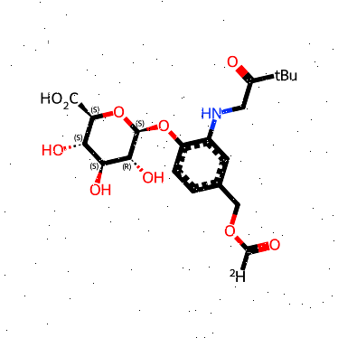 [2H]C(=O)OCc1ccc(O[C@@H]2O[C@H](C(=O)O)[C@@H](O)[C@H](O)[C@H]2O)c(NCC(=O)C(C)(C)C)c1